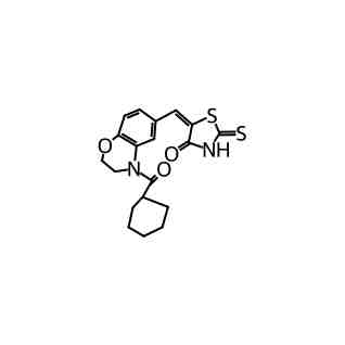 O=C1NC(=S)SC1=Cc1ccc2c(c1)N(C(=O)C1CCCCC1)CCO2